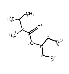 CC(C)C(C)C(=O)OC(CO)CO